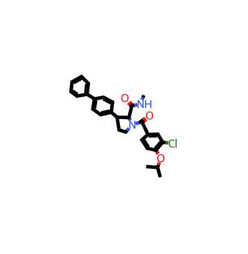 CNC(=O)C1C(c2ccc(-c3ccccc3)cc2)CCN1C(=O)c1ccc(OC(C)C)c(Cl)c1